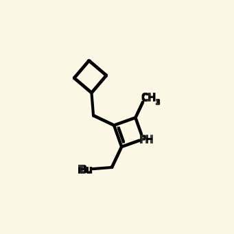 CCC(C)CC1=C(CC2CCC2)C(C)P1